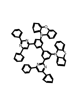 c1ccc(-c2cc(-c3cc(-c4cc(-c5nc(-c6ccccc6)cc(-c6ccccc6)n5)cc(N5c6ccccc6Sc6ccccc65)c4)cc(N4c5ccccc5Oc5ccccc54)c3)nc(-c3ccccc3)n2)cc1